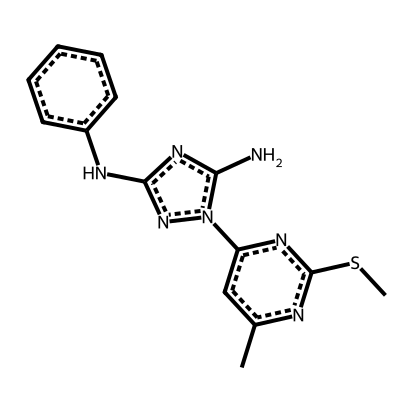 CSc1nc(C)cc(-n2nc(Nc3ccccc3)nc2N)n1